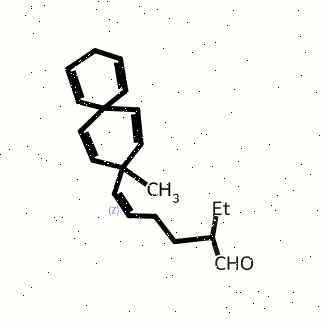 CCC(C=O)CC/C=C\C1(C)C=CC2(C=CCC=C2)C=C1